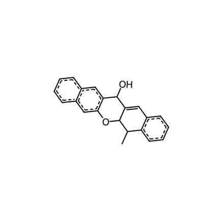 CC1c2ccccc2C=C2C(O)c3cc4ccccc4cc3OC21